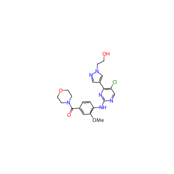 COc1cc(C(=O)N2CCOCC2)ccc1Nc1ncc(Cl)c(-c2cnn(CCO)c2)n1